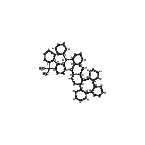 CC1(C)c2ccccc2-c2c(N(c3ccccc3)c3cccc4oc5c(ccc6c7ccccc7c7ccccc7c7ccccc7c65)oc34)cccc21